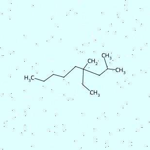 [CH2]C(CC)(CCCCC)CC(C)C